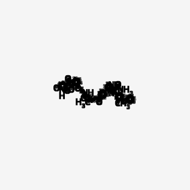 CC1CC(c2nn3c(c2C(N)=O)NCC[C@H]3C2CCN(C(=O)CCN(C)CC(=O)NCCOc3cccc4c3C(=O)N(C3CCC(=O)NC3=O)C4=O)CC2)=CC=C1Oc1ccccc1